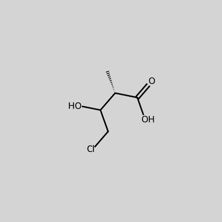 C[C@H](C(=O)O)C(O)CCl